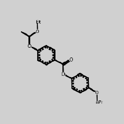 CCCOc1ccc(OC(=O)c2ccc(OC(C)OCC)cc2)cc1